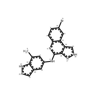 Cc1cc(Nc2nc3ccc(Br)cc3c3c[nH]nc23)cc2cn[nH]c12